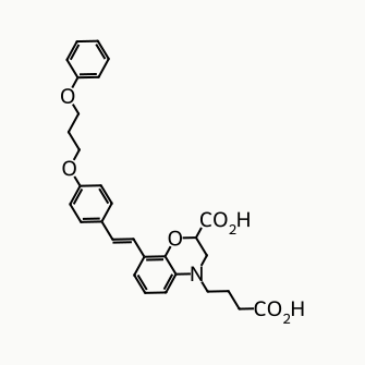 O=C(O)CCCN1CC(C(=O)O)Oc2c(/C=C/c3ccc(OCCCOc4ccccc4)cc3)cccc21